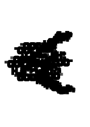 [Cl-].[Cl-].[NH3+]C(C(=O)[O-])N(CCN(C([NH3+])C(=O)[O-])C([NH3+])C(=O)[O-])C([NH3+])C(=O)[O-].[NH3+]C(C(=O)[O-])N(CCN(C([NH3+])C(=O)[O-])C([NH3+])C(=O)[O-])C([NH3+])C(=O)[O-].[OH-].[OH-].[OH-].[OH-].[OH-].[OH-].[OH-].[OH-].[Sn+2].[Sn+2].[Sn+2].[Sn+2].[Sn+2]